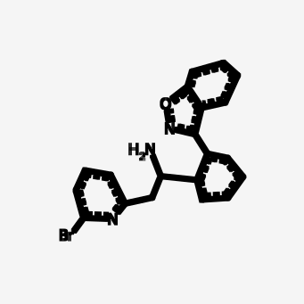 NC(Cc1cccc(Br)n1)c1ccccc1-c1noc2ccccc12